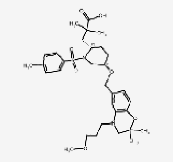 COCCCN1CC(C)(C)Oc2ccc(CO[C@@H]3CC[C@@H](CC(C)(C)C(=O)O)N(S(=O)(=O)c4ccc(C)cc4)C3)cc21